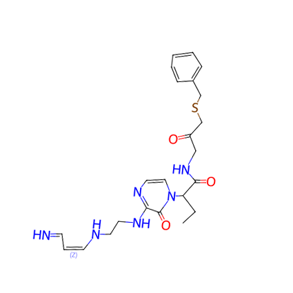 CCC(C(=O)NCC(=O)CSCc1ccccc1)n1ccnc(NCCN/C=C\C=N)c1=O